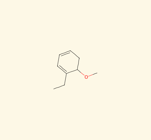 CCC1=CC=CCC1OC